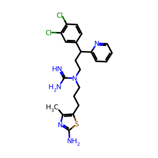 Cc1nc(N)sc1CCCN(CCC(c1ccc(Cl)c(Cl)c1)c1ccccn1)C(=N)N